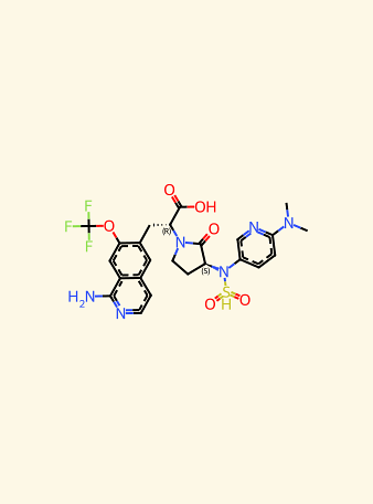 CN(C)c1ccc(N([C@H]2CCN([C@H](Cc3cc4ccnc(N)c4cc3OC(F)(F)F)C(=O)O)C2=O)[SH](=O)=O)cn1